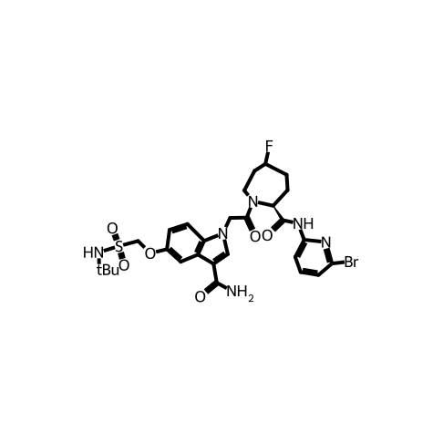 CC(C)(C)NS(=O)(=O)COc1ccc2c(c1)c(C(N)=O)cn2CC(=O)N1CCC(F)CC[C@H]1C(=O)Nc1cccc(Br)n1